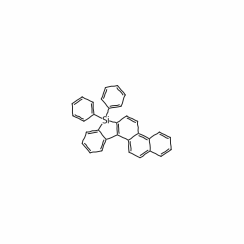 c1ccc([Si]2(c3ccccc3)c3ccccc3-c3c2ccc2c3ccc3ccccc32)cc1